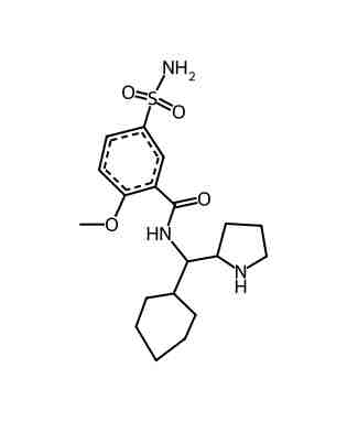 COc1ccc(S(N)(=O)=O)cc1C(=O)NC(C1CCCCC1)C1CCCN1